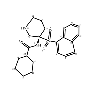 O=C(N[C@]1(S(=O)(=O)c2cccc3ccccc23)CCCNC1)C1CCCCC1